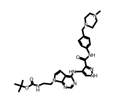 CN1CCN(Cc2ccc(NC(=O)c3n[nH]cc3Nc3ncnc4c3ccn4CCNC(=O)OC(C)(C)C)cc2)CC1